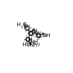 CCCC(N)(O)c1cccc(-c2cc(C3CCN(C)CC3)c3cnn(-c4cccc(CO)n4)c3c2)n1